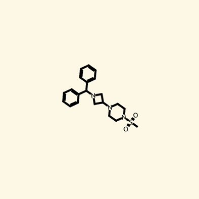 CS(=O)(=O)N1CCN(C2CN(C(c3ccccc3)c3ccccc3)C2)CC1